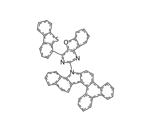 c1ccc2c(c1)ccc1c3c4c5ccccc5c5ccccc5c4ccc3n(-c3nc(-c4cccc5c4sc4ccccc45)c4oc5ccccc5c4n3)c21